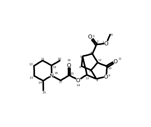 COC(=O)C1C2CC3C(OC(=O)C31)C2OC(=O)CN1C(C)CCCC1C